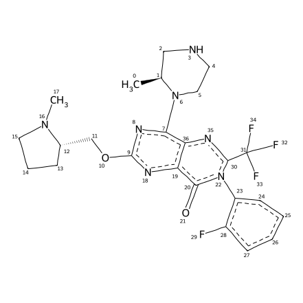 C[C@H]1CNCCN1c1nc(OC[C@@H]2CCCN2C)nc2c(=O)n(-c3ccccc3F)c(C(F)(F)F)nc12